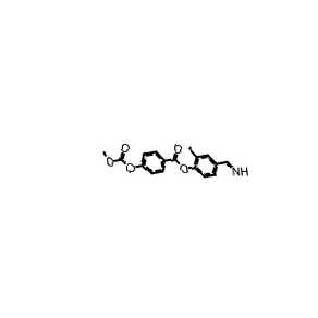 COC(=O)Oc1ccc(C(=O)Oc2ccc(C=N)cc2C)cc1